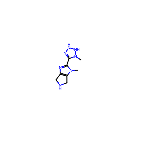 CN1NNN=C1c1nc2c(n1C)CNC2